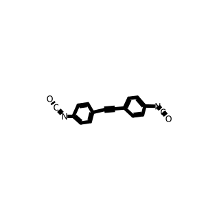 O=C=Nc1ccc(C#Cc2ccc(N=C=O)cc2)cc1